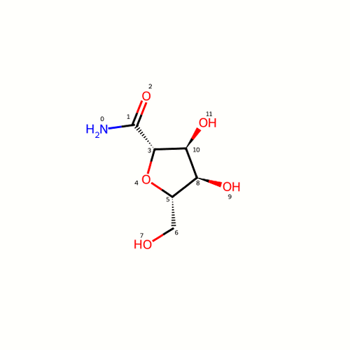 NC(=O)[C@H]1O[C@@H](CO)[C@H](O)[C@@H]1O